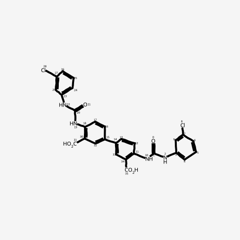 O=C(Nc1cccc(Cl)c1)Nc1ccc(-c2ccc(NC(=O)Nc3cccc(Cl)c3)c(C(=O)O)c2)cc1C(=O)O